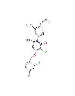 C=Cc1ccc(-n2c(C)cc(OCc3ccc(F)cc3F)c(Br)c2=O)cc1C